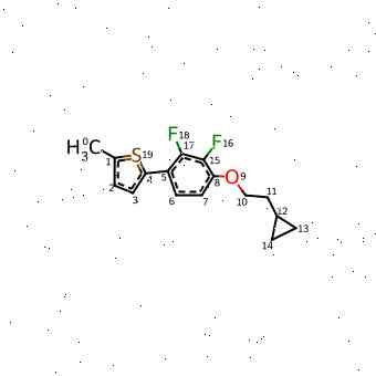 Cc1ccc(-c2ccc(OCCC3CC3)c(F)c2F)s1